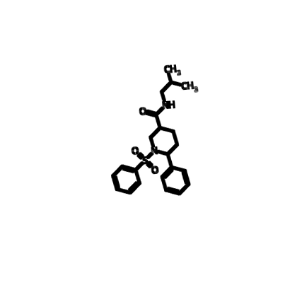 CC(C)CNC(=O)C1CCC(c2ccccc2)N(S(=O)(=O)c2ccccc2)C1